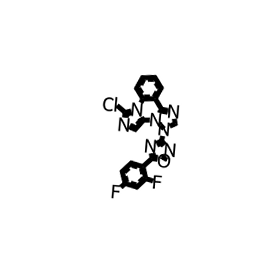 Fc1ccc(-c2nc(N3CN=C4c5ccccc5-n5c(cnc5Cl)N43)no2)c(F)c1